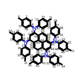 Cc1ccc(N(C2=CC(N(c3ccc(C)cc3)c3ccc(C)cc3)C3=CCc4c(N(c5ccc(C)cc5)c5ccc(C)cc5)cc(N(c5ccc(C)cc5)c5ccc(C)cc5)c5ccc2c3c45)c2ccc(C)cc2)cc1